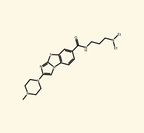 CCN(CC)CCCNC(=O)c1ccc2c(c1)sc1nc(N3CCN(C)CC3)cn12